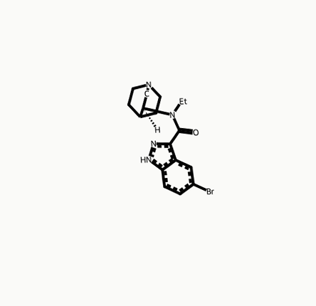 CCN(C(=O)c1n[nH]c2ccc(Br)cc12)[C@@H]1CN2CCC1CC2